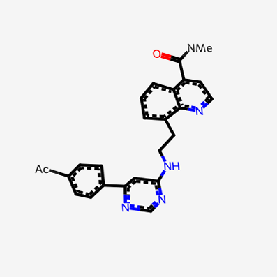 CNC(=O)c1ccnc2c(CCNc3cc(-c4ccc(C(C)=O)cc4)ncn3)cccc12